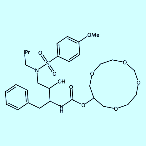 COc1ccc(S(=O)(=O)N(CC(C)C)CC(O)C(Cc2ccccc2)NC(=O)OC2COCCOCOCCOC2)cc1